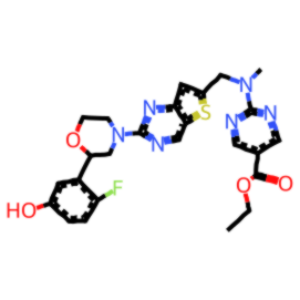 CCOC(=O)c1cnc(N(C)Cc2cc3nc(N4CCOC(c5cc(O)ccc5F)C4)ncc3s2)nc1